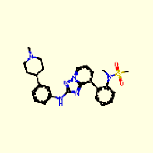 CN1CCC(c2cccc(Nc3nc4c(-c5ccccc5N(C)S(C)(=O)=O)cccn4n3)c2)CC1